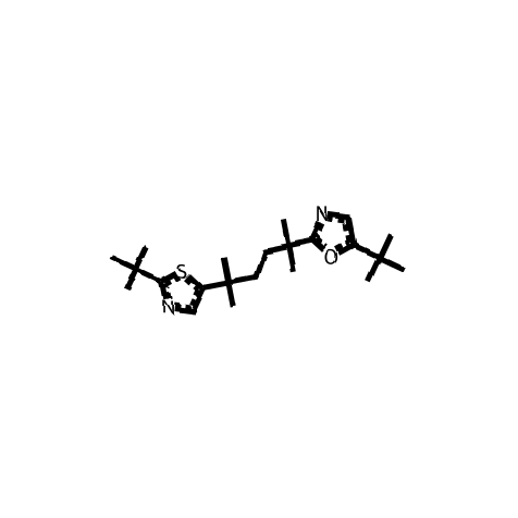 CC(C)(C)c1cnc(C(C)(C)CCC(C)(C)c2cnc(C(C)(C)C)s2)o1